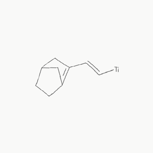 [Ti][CH]=CC1=C2CCC(C1)C2